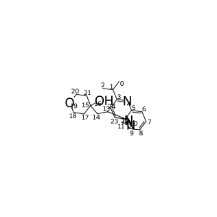 CC(C)C1=NC2=CC=CC3=NCN(CCC4(O)CCOCC4)C23C=C1